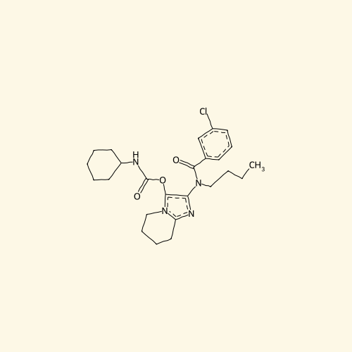 CCCCN(C(=O)c1cccc(Cl)c1)c1nc2n(c1OC(=O)NC1CCCCC1)CCCC2